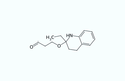 CCC1(OCC[C]=O)CCc2ccccc2N1